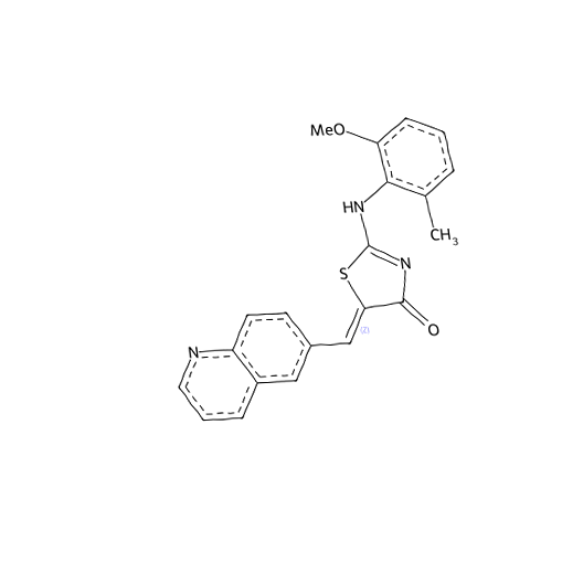 COc1cccc(C)c1NC1=NC(=O)/C(=C/c2ccc3ncccc3c2)S1